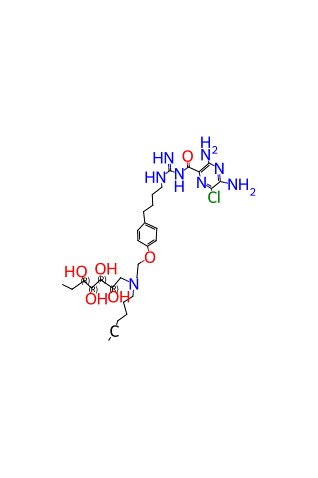 CCCCCCN(CCOc1ccc(CCCCNC(=N)NC(=O)c2nc(Cl)c(N)nc2N)cc1)C[C@@H](O)[C@@H](O)[C@H](O)[C@H](O)CC